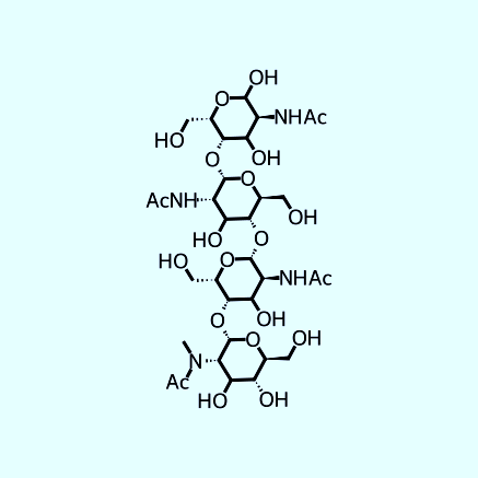 CC(=O)N[C@@H]1C(O)O[C@@H](CO)[C@@H](O[C@@H]2O[C@@H](CO)[C@H](O[C@H]3O[C@@H](CO)[C@@H](O[C@@H]4O[C@@H](CO)[C@H](O)C(O)[C@@H]4N(C)C(C)=O)C(O)[C@@H]3NC(C)=O)C(O)[C@@H]2NC(C)=O)C1O